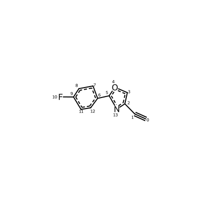 C#Cc1coc(-c2ccc(F)cc2)n1